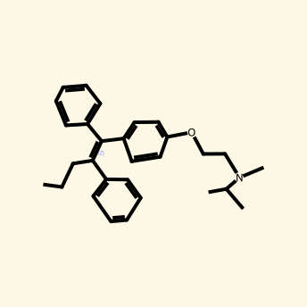 CCC/C(=C(\c1ccccc1)c1ccc(OCCN(C)C(C)C)cc1)c1ccccc1